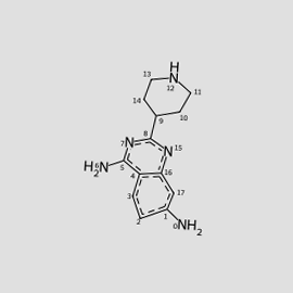 Nc1ccc2c(N)nc(C3CCNCC3)nc2c1